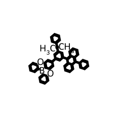 CC(C)(c1ccccc1)c1cc(-c2cc3c4c(c2)Oc2ccccc2B4c2ccccc2O3)cc(-c2c3ccccc3c(-c3ccccc3)c3ccccc23)c1